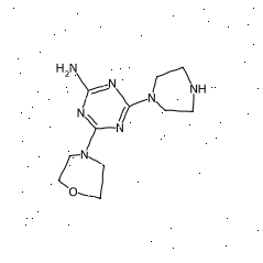 Nc1nc(N2CCNCC2)nc(N2CCOCC2)n1